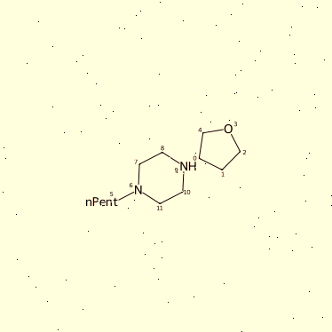 C1CCOC1.CCCCCN1CCNCC1